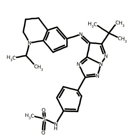 CC(C)N1CCCc2cc(/N=C3/C(C(C)(C)C)=Nn4nc(-c5ccc(NS(C)(=O)=O)cc5)nc43)ccc21